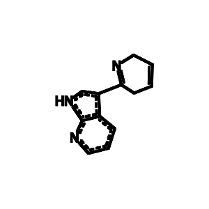 C1=CCC(c2c[nH]c3ncccc23)=NC1